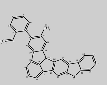 C=C[n+]1ccccc1-c1cc2c3cccc4c5cc6sc7ccccc7c6cc5n(c2cc1C)c34